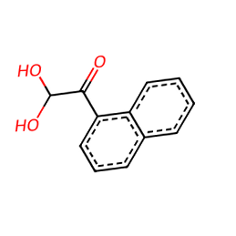 O=C(c1cccc2ccccc12)C(O)O